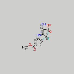 COC(=O)[C@@H]1CC[C@@H](N/C(=C(\C=N)C(=O)O)C(F)(F)F)C1